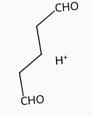 O=CCCCC=O.[H+]